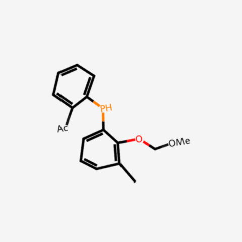 COCOc1c(C)cccc1Pc1ccccc1C(C)=O